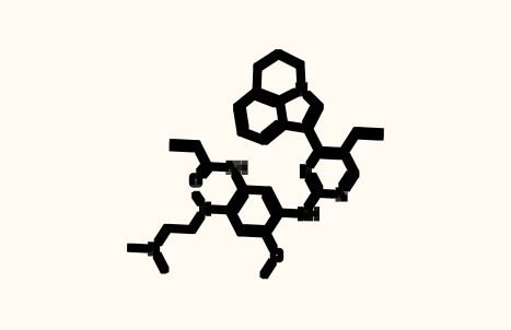 C=CC(=O)Nc1cc(Nc2ncc(C=C)c(-c3cn4c5c(cccc35)CCC4)n2)c(OC)cc1N(C)CCN(C)C